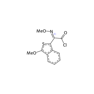 CO/N=C(/C(=O)Cl)c1sc(OC)c2ccccc12